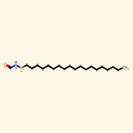 CCCCCCCCCCCCCCCCCCCSNC=O